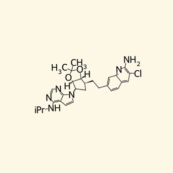 CC(C)Nc1ncnc2c1ccn2[C@@H]1C[C@H](CCc2ccc3cc(Cl)c(N)nc3c2)[C@H]2OC(C)(C)O[C@H]21